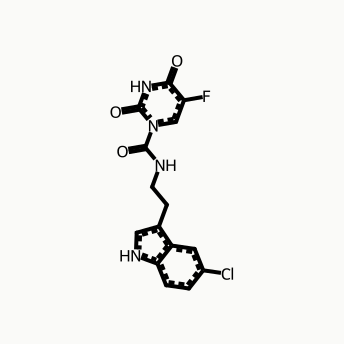 O=C(NCCc1c[nH]c2ccc(Cl)cc12)n1cc(F)c(=O)[nH]c1=O